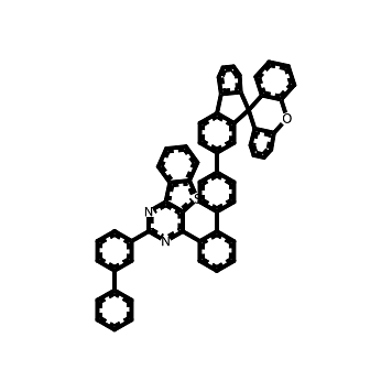 c1ccc(-c2cccc(-c3nc(-c4ccccc4-c4ccc(-c5ccc6c(c5)C5(c7ccccc7Oc7ccccc75)c5ccccc5-6)cc4)c4sc5ccccc5c4n3)c2)cc1